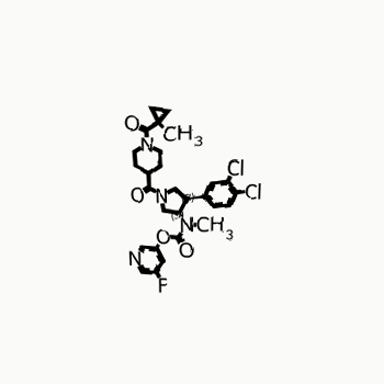 CN(C(=O)Oc1cncc(F)c1)[C@@H]1CN(C(=O)C2CCN(C(=O)C3(C)CC3)CC2)C[C@H]1c1ccc(Cl)c(Cl)c1